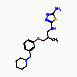 CC(CNc1nnc(N)s1)COc1cccc(CN2CCCCC2)c1